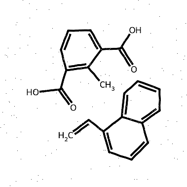 C=Cc1cccc2ccccc12.Cc1c(C(=O)O)cccc1C(=O)O